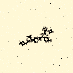 O=C(CC1CC(F)(F)C1)NC(c1cnn2cc([C@@H](NC(=O)c3nonc3N3CCC3)C3CCC(F)(F)CC3)nc2c1)C1CC1